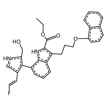 CCOC(=O)c1[nH]c2c(-c3c(/C=C/F)n[nH]c3CO)cccc2c1CCCOc1cccc2ccccc12